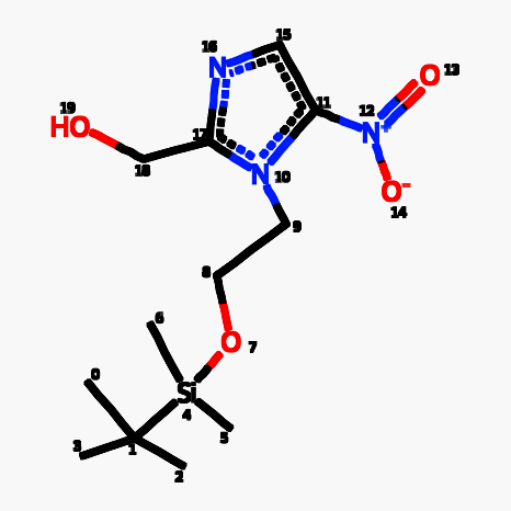 CC(C)(C)[Si](C)(C)OCCn1c([N+](=O)[O-])cnc1CO